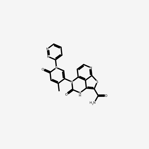 Cc1cc(=O)n(-c2cccnn2)cc1N1C(=O)Nc2c(C(N)=O)sc3nccc1c23